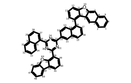 c1ccc2cc3c(cc2c1)oc1cccc(-c2cccc4cc(-c5nc(-c6cccc7ccccc67)nc(-c6cccc7c6oc6ccccc67)n5)ccc24)c13